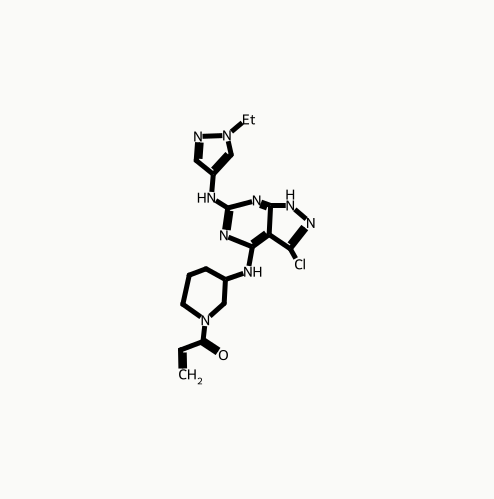 C=CC(=O)N1CCCC(Nc2nc(Nc3cnn(CC)c3)nc3[nH]nc(Cl)c23)C1